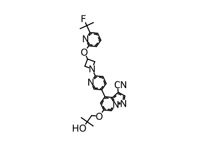 CC(C)(O)COc1cc(-c2ccc(N3CC(Oc4cccc(C(C)(C)F)n4)C3)nc2)c2c(C#N)cnn2c1